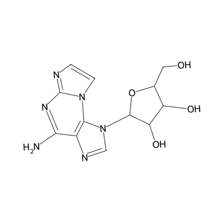 Nc1nc2nccn2c2c1ncn2C1OC(CO)C(O)C1O